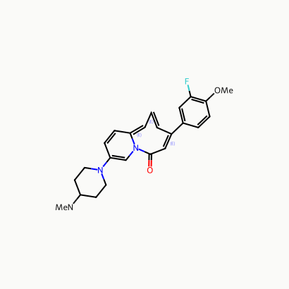 CNC1CCN(C2=CN3C(=O)\C=C(c4ccc(OC)c(F)c4)/C=C/C=C/3C=C2)CC1